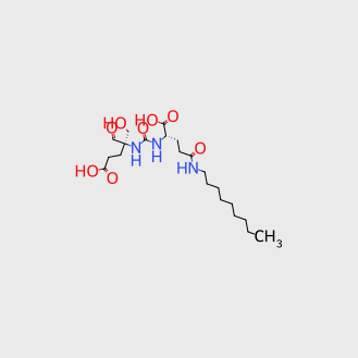 CCCCCCCCCNC(=O)CC[C@H](NC(=O)N[C@@](C=O)(CO)CCC(=O)O)C(=O)O